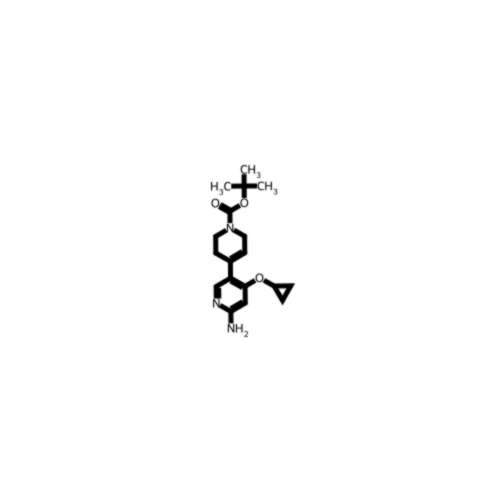 CC(C)(C)OC(=O)N1CC=C(c2cnc(N)cc2OC2CC2)CC1